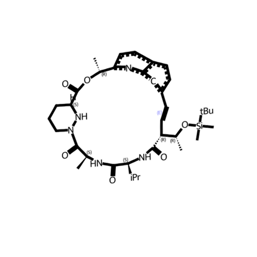 CC(C)[C@@H]1NC(=O)[C@@H]([C@@H](C)O[Si](C)(C)C(C)(C)C)/C=C/c2ccc3ccc(nc3c2)[C@@H](C)OC(=O)[C@@H]2CCCN(N2)C(=O)[C@H](C)NC1=O